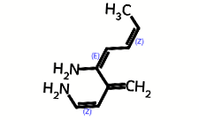 C=C(/C=C\N)/C(N)=C\C=C/C